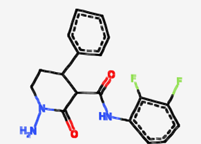 NN1CCC(c2ccccc2)C(C(=O)Nc2cccc(F)c2F)C1=O